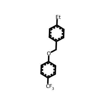 CCc1ccc(COc2ccc(C(F)(F)F)cc2)cc1